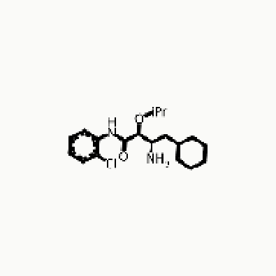 CC(C)OC(C(=O)Nc1ccccc1Cl)[C@H](N)CC1CCCCC1